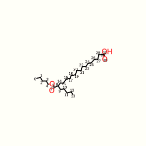 CCCCCOC(=O)C(CCCCC)CCCCCCCCCCCCCCCC(=O)O